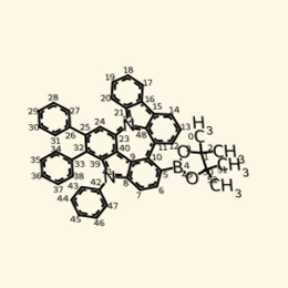 CC1(C)OB(c2ccc3c4c2c2cccc5c6ccccc6n(c6cc(-c7ccccc7)c(-c7ccccc7)c(c46)n3-c3ccccc3)c52)OC1(C)C